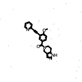 COc1ccc(C(=O)N2CCc3[nH]ncc3C2)cc1C#Cc1ccccn1